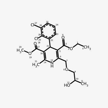 CCOC(=O)C1=C(COCC(C)O)NC(C)=C(C(=O)OC)C1c1cccc(Cl)c1Cl